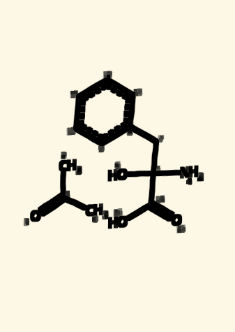 CC(C)=O.NC(O)(Cc1ccccc1)C(=O)O